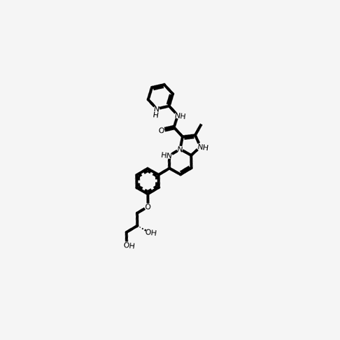 CC1=C(C(=O)NC2=CC=CCN2)N2NC(c3cccc(OC[C@H](O)CO)c3)C=CC2N1